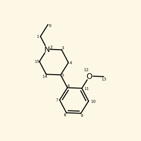 CCN1CCC(c2ccccc2OC)CC1